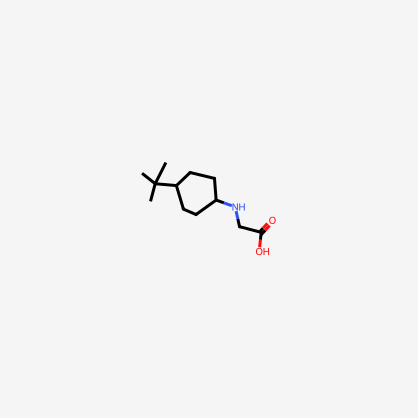 CC(C)(C)C1CCC(NCC(=O)O)CC1